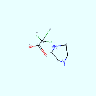 C1CNCCN1.O=C(O)C(F)(F)F